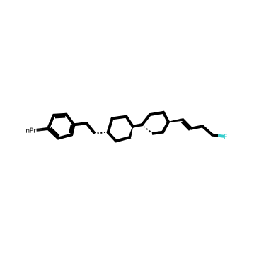 CCCc1ccc(CC[C@H]2CC[C@H]([C@H]3CC[C@H](C=CCCF)CC3)CC2)cc1